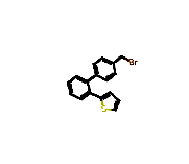 BrCc1ccc(-c2ccccc2-c2cccs2)cc1